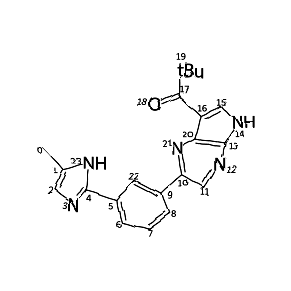 Cc1cnc(-c2cccc(-c3cnc4[nH]cc(C(=O)C(C)(C)C)c4n3)c2)[nH]1